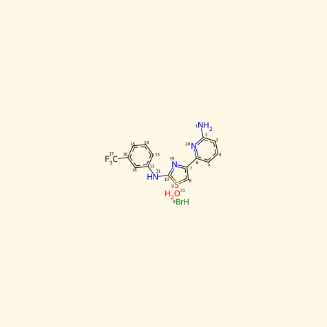 Br.Nc1cccc(-c2csc(Nc3cccc(C(F)(F)F)c3)n2)n1.O